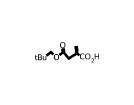 C=C(CC(=O)OCC(C)(C)C)C(=O)O